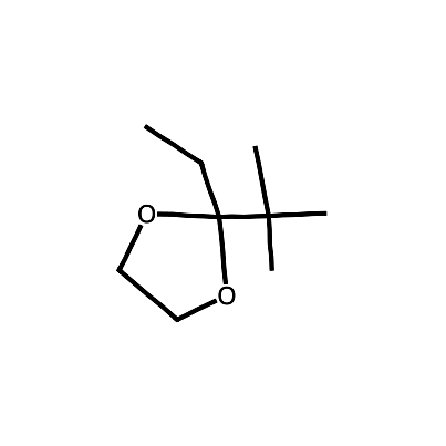 CCC1(C(C)(C)C)OCCO1